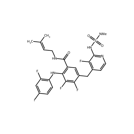 CNS(=O)(=O)Nc1nccc(Cc2cc(C(=O)NCC=C(C)C)c(Nc3ccc(I)cc3F)c(F)c2F)c1F